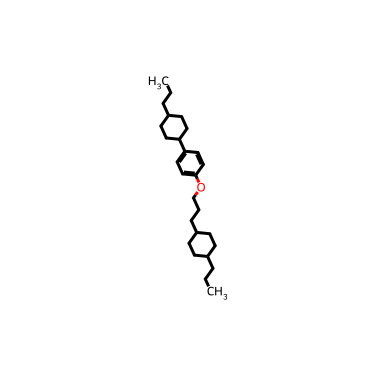 CCCC1CCC(CCCOc2ccc(C3CCC(CCC)CC3)cc2)CC1